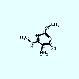 CNc1nc(SC)nc(Cl)c1N